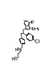 Cc1cc(F)c2[nH]cc(CC(Cc3ccc(CNCCCO)cc3)c3ccc(Cl)cc3)c2c1